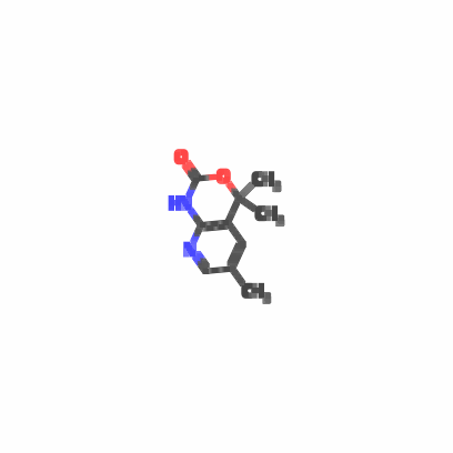 Cc1cnc2c(c1)C(C)(C)OC(=O)N2